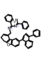 N/C(=N\C(=N/CC1=CCCc2oc3ccc(-c4ccc(-c5ccccc5)c5ccccc45)cc3c21)c1ccccc1)c1ccccc1